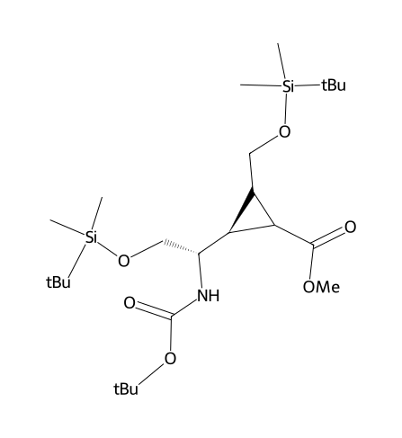 COC(=O)C1C(CO[Si](C)(C)C(C)(C)C)[C@@H]1[C@@H](CO[Si](C)(C)C(C)(C)C)NC(=O)OC(C)(C)C